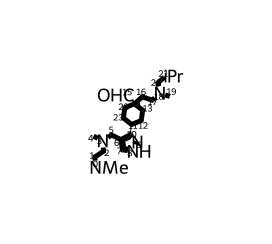 CNCCN(C)Cc1c[nH]nc1[C@H]1CC[C@](C=O)(CCN(C)CC(C)C)CC1